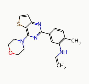 C=CNc1cc(-c2nc(N3CCOCC3)c3sccc3n2)ccc1C